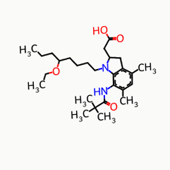 CCCC(CCCCN1c2c(c(C)cc(C)c2NC(=O)C(C)(C)C)CC1CC(=O)O)OCC